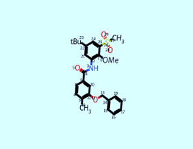 COc1c(NC(=O)c2ccc(C)c(OCc3ccccc3)c2)cc(C(C)(C)C)cc1S(C)(=O)=O